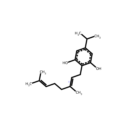 CC(C)=CCC/C(C)=C/Cc1c(O)cc(C(C)C)cc1O